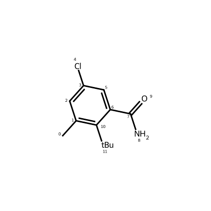 Cc1cc(Cl)cc(C(N)=O)c1C(C)(C)C